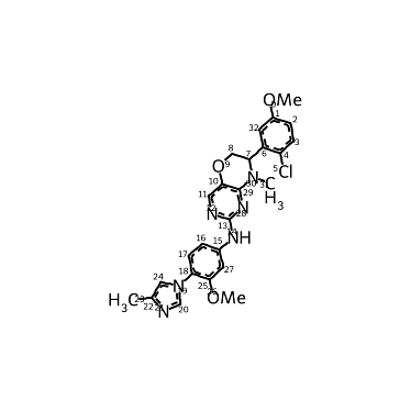 COc1ccc(Cl)c(C2COc3cnc(Nc4ccc(-n5cnc(C)c5)c(OC)c4)nc3N2C)c1